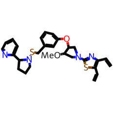 C=Cc1nc(N2CC(OC)C(Oc3cccc(CSN4CCCC4c4ccccn4)c3)C2)sc1C=C